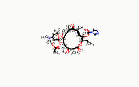 CC[C@H]1OC(=O)[C@H](C)C(=O)[C@H](C)[C@@H](O[C@@H]2O[C@H](C)C[C@H](N(C)C)[C@H]2OC(C)=O)[C@](C)(OC)C[C@@H](C)C(=O)/C(C)=C/[C@]1(C)OC(=O)n1ccnc1